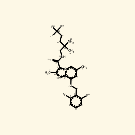 Cc1cc(OCc2c(F)cccc2F)c2nc(C)c(C(=O)NCC(C)(N)CCC(F)(F)F)n2c1